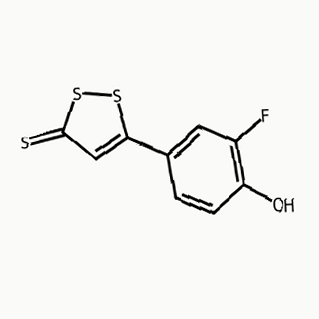 Oc1ccc(-c2cc(=S)ss2)cc1F